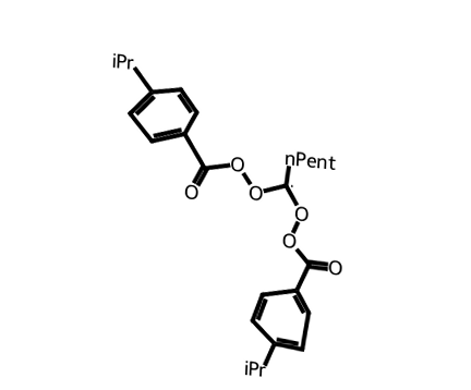 [CH2]CCCC[C](OOC(=O)c1ccc(C(C)C)cc1)OOC(=O)c1ccc(C(C)C)cc1